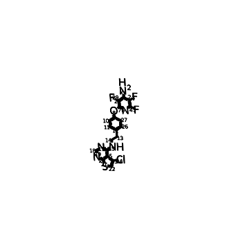 Nc1c(F)c(F)nc(Oc2ccc(CCNc3ncnc4scc(Cl)c34)cc2)c1F